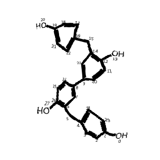 Oc1ccc(Cc2cc(-c3ccc(O)c(Cc4ccc(O)cc4)c3)ccc2O)cc1